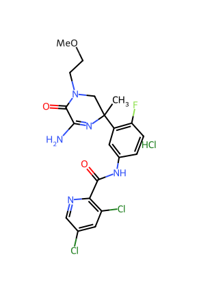 COCCN1CC(C)(c2cc(NC(=O)c3ncc(Cl)cc3Cl)ccc2F)N=C(N)C1=O.Cl